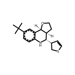 CC(C)(C)c1ccc2c(c1)[C@H]1OCC[C@H]1[C@H](C1C=CSC1)N2